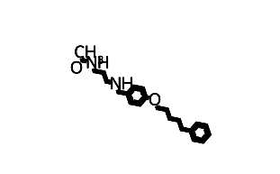 CC(=O)NCCCNCc1ccc(OCCCCCc2ccccc2)cc1